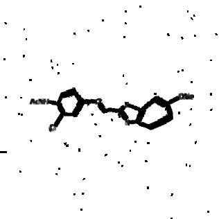 COc1ccc2nc(COc3ccc(NC(C)=O)c(Cl)c3)sc2c1